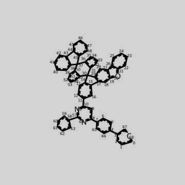 c1ccc(-c2ccc(-c3cc(-c4ccc5c(c4)-c4cc6oc7ccccc7c6cc4C54c5ccccc5C5(c6ccccc6-c6ccccc65)c5ccccc54)nc(-c4ccccc4)n3)cc2)cc1